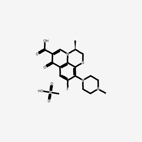 CS(=O)(=O)O.C[C@H]1COc2c(N3CCN(C)CC3)c(F)cc3c(=O)c(C(=O)O)cn1c23